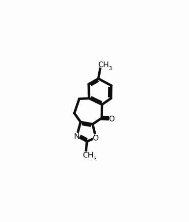 Cc1ccc2c(c1)CCc1nc(C)oc1C2=O